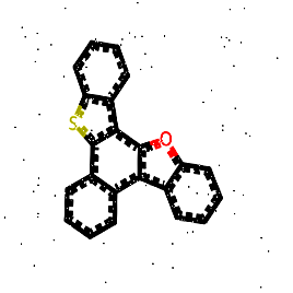 c1ccc2c(c1)oc1c2c2ccccc2c2sc3ccccc3c12